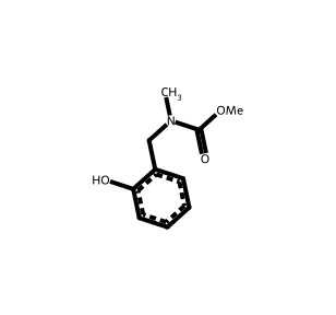 COC(=O)N(C)Cc1ccccc1O